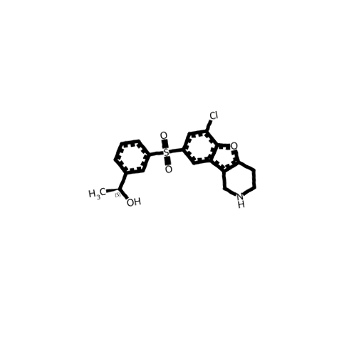 C[C@H](O)c1cccc(S(=O)(=O)c2cc(Cl)c3oc4c(c3c2)CNCC4)c1